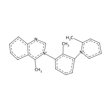 Cc1c(-[n+]2ccccc2C)cccc1-[n+]1cnc2ccccc2c1C